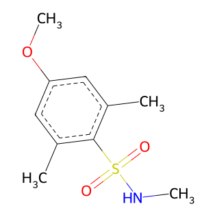 CNS(=O)(=O)c1c(C)cc(OC)cc1C